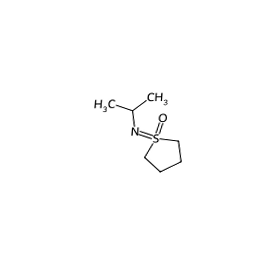 CC(C)N=S1(=O)CCCC1